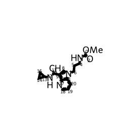 COC(=O)NCCCn1cc([C@@H](C)NC2CC2)c2ncccc21